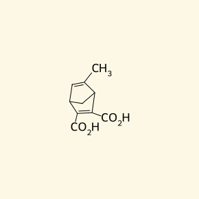 CC1=CC2CC1C(C(=O)O)=C2C(=O)O